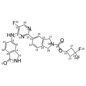 O=C1NCc2cc(Nc3nc(-c4ccc5c(c4)CN(C(=O)OC4CC(F)(F)C4)C5)ncc3F)ccc21